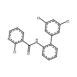 O=C(Nc1ccccc1-c1cc(Cl)cc(Cl)c1)c1cccnc1Cl